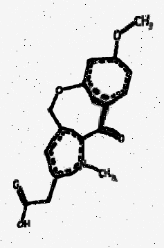 COc1ccc2c(c1)OCc1cc(CC(=O)O)n(C)c1C2=O